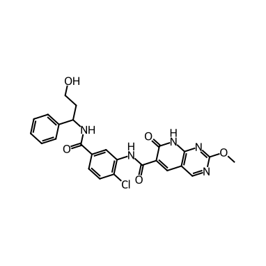 COc1ncc2cc(C(=O)Nc3cc(C(=O)NC(CCO)c4ccccc4)ccc3Cl)c(=O)[nH]c2n1